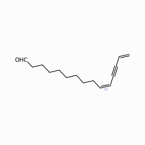 C=CC#C/C=C\CCCCCCCCC=O